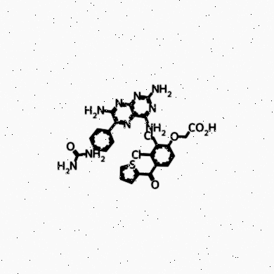 NC(N)=O.Nc1nc(N)c2nc(-c3ccccc3)c(N)nc2n1.O=C(O)COc1ccc(C(=O)c2cccs2)c(Cl)c1Cl